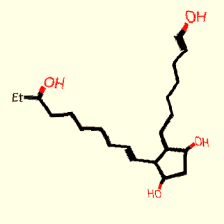 CCC(O)CCCCCC=CC1C(O)CC(O)C1CCCCCC=CO